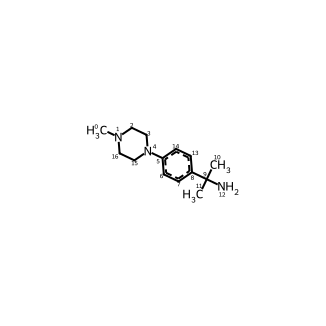 CN1CCN(c2ccc(C(C)(C)N)cc2)CC1